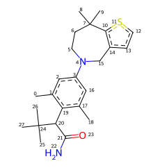 Cc1cc(N2CCC(C)(C)c3sccc3C2)cc(C)c1C(C(N)=O)C(C)(C)C